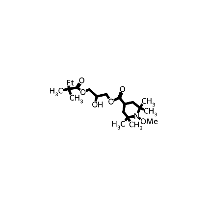 CCC(C)(C)C(=O)OCC(O)COC(=O)C1CC(C)(C)N(OC)C(C)(C)C1